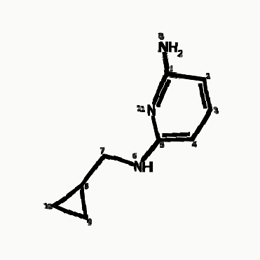 Nc1cccc(NCC2CC2)n1